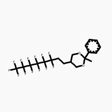 CC1(c2ccccc2)OCC(CCC(F)(F)C(F)(F)C(F)(F)C(F)(F)C(F)(F)C(F)(F)F)CO1